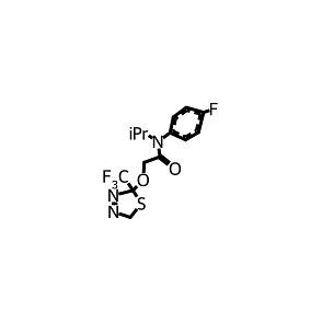 CC(C)N(C(=O)COC1(C(F)(F)F)N=NCS1)c1ccc(F)cc1